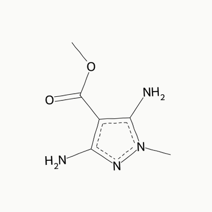 COC(=O)c1c(N)nn(C)c1N